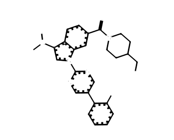 C[S+]([O-])c1cn(-c2ncc(-c3ccccc3F)cn2)c2cc(C(=O)N3CCC(CO)CC3)ccc12